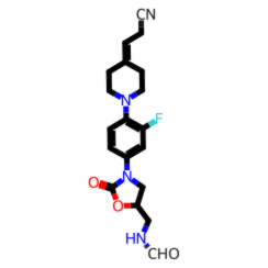 N#CCC=C1CCN(c2ccc(N3CC(CNC=O)OC3=O)cc2F)CC1